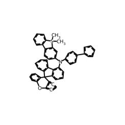 CS1(C)c2ccccc2-c2ccc(N(c3ccc(-c4ccccc4)cc3)c3cccc4c3-c3ccccc3C43c4ccccc4Oc4ccccc43)cc21